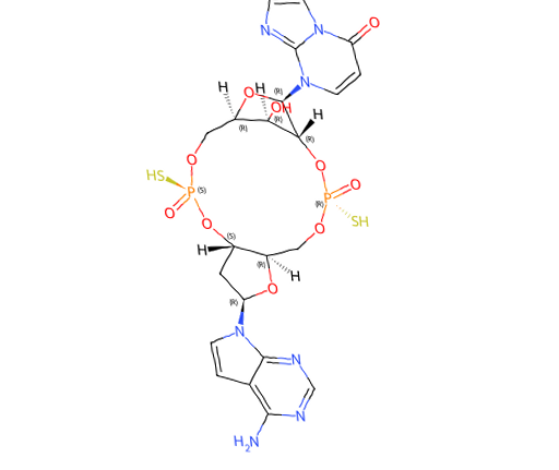 Nc1ncnc2c1ccn2[C@H]1C[C@@H]2O[P@@](=O)(S)OC[C@H]3O[C@@H](n4ccc(=O)n5ccnc45)[C@H](O[P@](=O)(S)OC[C@H]2O1)[C@@H]3O